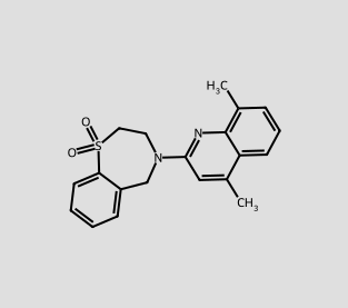 Cc1cc(N2CCS(=O)(=O)c3ccccc3C2)nc2c(C)cccc12